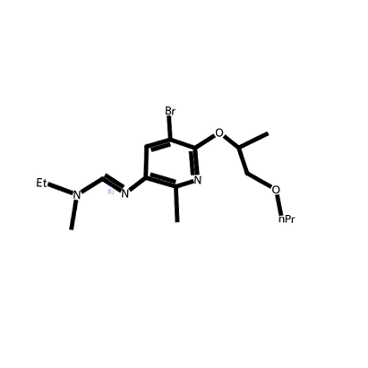 CCCOCC(C)Oc1nc(C)c(/N=C/N(C)CC)cc1Br